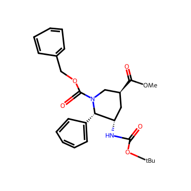 COC(=O)[C@H]1C[C@H](NC(=O)OC(C)(C)C)[C@H](c2ccccc2)N(C(=O)OCc2ccccc2)C1